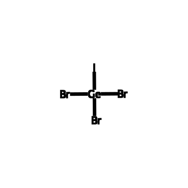 [Br][Ge]([Br])([Br])[I]